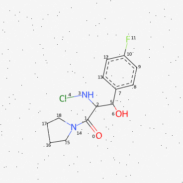 O=C(C(NCl)C(O)c1ccc(F)cc1)N1CCCC1